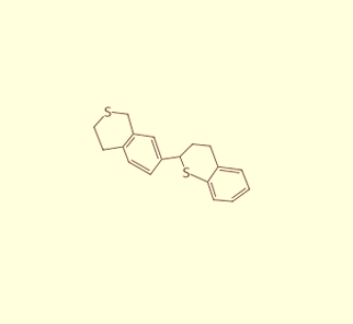 c1ccc2c(c1)CCC(c1ccc3c(c1)CSCC3)S2